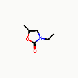 CCN1CC(C)OC1=O